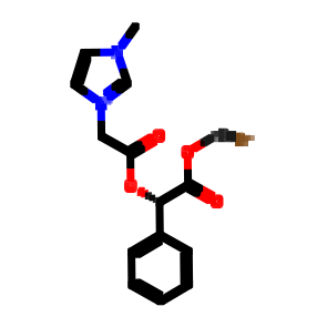 CCCCOC(=O)[C@@H](OC(=O)C[n+]1ccn(C)c1)c1ccccc1.[Br-]